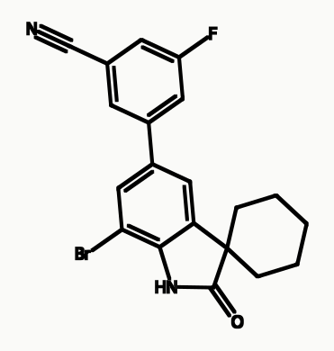 N#Cc1cc(F)cc(-c2cc(Br)c3c(c2)C2(CCCCC2)C(=O)N3)c1